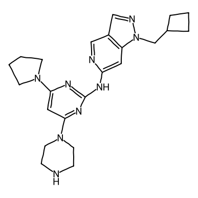 c1c(N2CCCC2)nc(Nc2cc3c(cn2)cnn3CC2CCC2)nc1N1CCNCC1